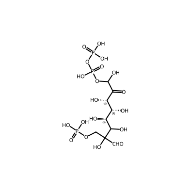 O=CC(O)(COP(=O)(O)O)C(O)[C@@H](O)[C@@H](O)[C@H](O)C(=O)C(O)OP(=O)(O)OP(=O)(O)O